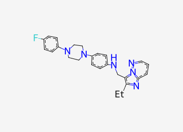 CCc1nc2cccnn2c1CNc1ccc(N2CCN(c3ccc(F)cc3)CC2)cc1